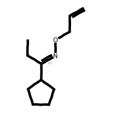 C=CCO/N=C(\CC)C1CCCC1